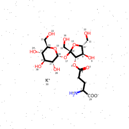 NC(CCC(=O)O[C@H]1[C@H](O)[C@@H](CO)O[C@@]1(CO)O[C@H]1O[C@H](CO)[C@@H](O)[C@H](O)[C@H]1O)C(=O)[O-].[K+]